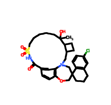 CC1(O)CCCCCS(=O)(=O)NC(=O)c2ccc3c(c2)N(CC2CCC21)CC1(CCCc2cc(Cl)ccc21)CO3